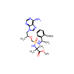 CCCOC(=O)C(C)(C)NP(=O)(CO[C@@H](C)Cn1cnc2c(N)ncnc21)N[C@H](C)c1ccccc1OC